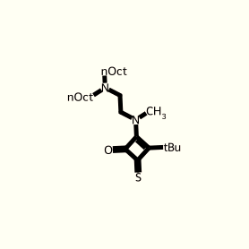 CCCCCCCCN(CCCCCCCC)CCN(C)c1c(C(C)(C)C)c(=S)c1=O